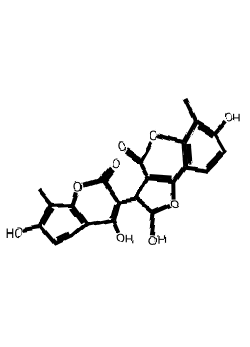 Cc1c(O)ccc2c(O)c(C3c4c(c5ccc(O)c(C)c5oc4=O)OC3O)c(=O)oc12